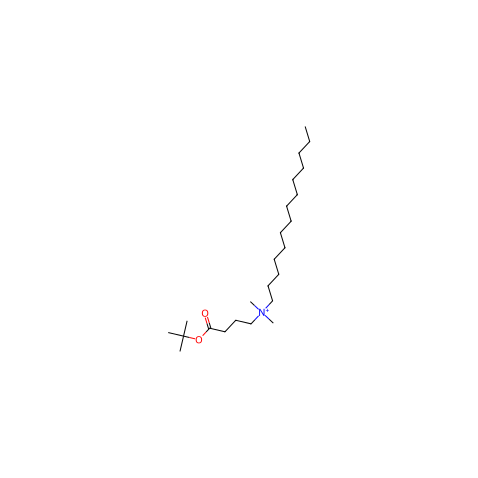 CCCCCCCCCCCCCC[N+](C)(C)CCCC(=O)OC(C)(C)C